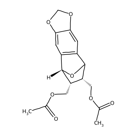 CC(=O)OC[C@@H]1[C@H]2OC(c3cc4c(cc32)OCO4)[C@@H]1COC(C)=O